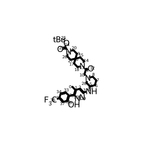 Cc1cc(N[C@@H]2CCCN(CC(=O)N3CCC4(CC3)CCN(C(=O)OC(C)(C)C)CC4)C2)nnc1-c1ccc(C(F)(F)F)cc1O